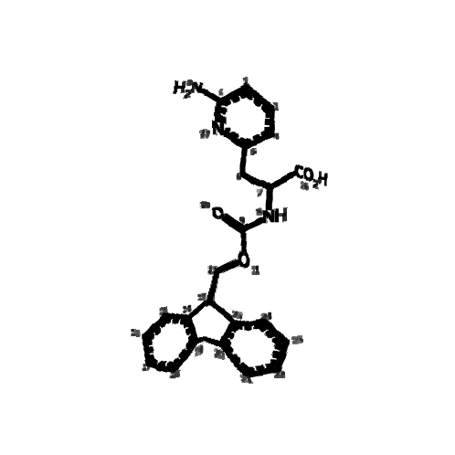 Nc1cccc(CC(NC(=O)OCC2c3ccccc3-c3ccccc32)C(=O)O)n1